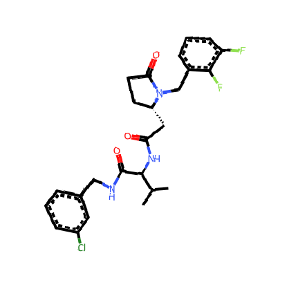 CC(C)C(NC(=O)C[C@@H]1CCC(=O)N1Cc1cccc(F)c1F)C(=O)NCc1cccc(Cl)c1